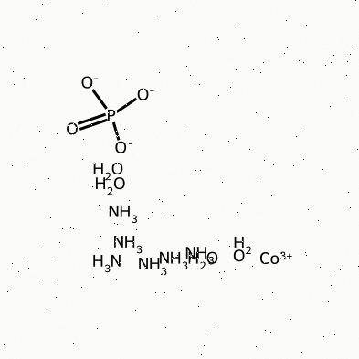 N.N.N.N.N.N.O.O.O.O.O=P([O-])([O-])[O-].[Co+3]